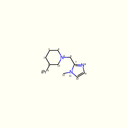 CC(C)C1CCCN(Cc2nccn2C)C1